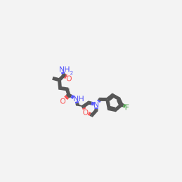 CC(C[CH]C(=O)NC[C@H]1CN(Cc2ccc(F)cc2)CCO1)C(N)=O